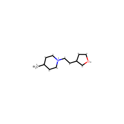 [CH2]C1CCN(CCC2CCOC2)CC1